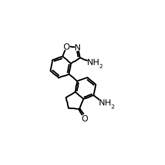 Nc1ccc(-c2cccc3onc(N)c23)c2c1C(=O)CC2